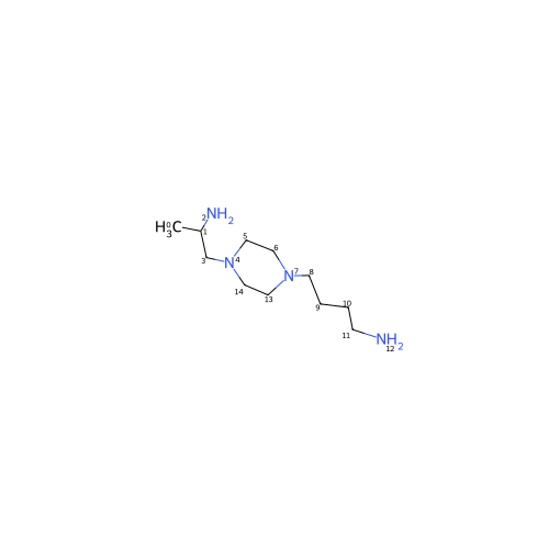 CC(N)CN1CCN(CCCCN)CC1